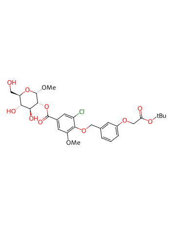 COc1cc(C(=O)O[C@H]2[C@@H](OC)O[C@H](CO)[C@@H](O)[C@@H]2O)cc(Cl)c1OCc1cccc(OCC(=O)OC(C)(C)C)c1